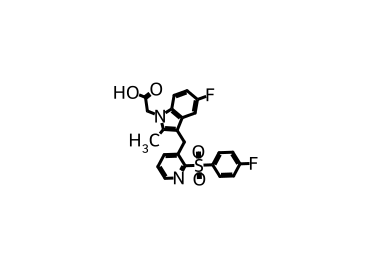 Cc1c(Cc2cccnc2S(=O)(=O)c2ccc(F)cc2)c2cc(F)ccc2n1CC(=O)O